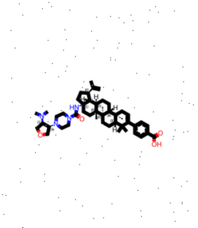 C=C(C)[C@@H]1CC[C@]2(NC(=O)N3CCN([C@@H]4COC[C@H]4N(C)C)CC3)CC[C@]3(C)[C@H](CC[C@@H]4[C@@]5(C)CC=C(c6ccc(C(=O)O)cc6)C(C)(C)[C@@H]5CC[C@]43C)[C@@H]12